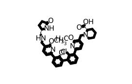 COc1nc(-c2cccc(-c3cccc(-c4ccc(CN5CCCC[C@H]5C(=O)O)c(OC)n4)c3Cl)c2Cl)ccc1CNC[C@@H]1CCC(=O)N1